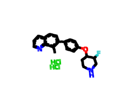 Cc1c(-c2ccc(OC3CCNCC3F)cc2)ccc2cccnc12.Cl.Cl